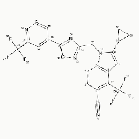 N#Cc1ccc2c(cc(C3CC3)n2Cc2noc(-c3ccnc(C(F)(F)F)c3)n2)c1C(F)(F)F